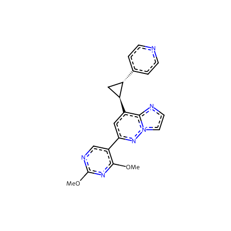 COc1ncc(-c2cc([C@H]3C[C@@H]3c3ccncc3)c3nccn3n2)c(OC)n1